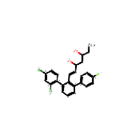 O=C(O)CC(O)CC(O)C=Cc1c(-c2ccc(F)cc2)cccc1-c1ccc(Cl)cc1Cl